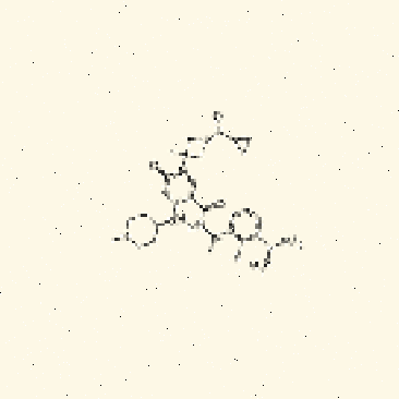 C[C@@H](NC(=O)c1cn(C2(C)CN(C(=O)C3CC3)C2)c(=O)cc1NC1CCN(C)CC1)c1cccc(C(P)P)c1F